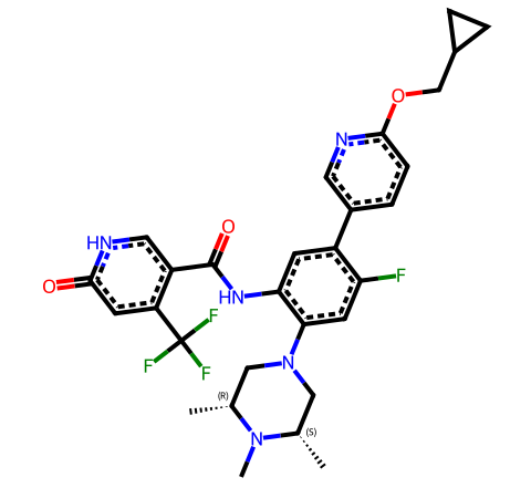 C[C@@H]1CN(c2cc(F)c(-c3ccc(OCC4CC4)nc3)cc2NC(=O)c2c[nH]c(=O)cc2C(F)(F)F)C[C@H](C)N1C